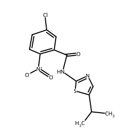 CC(C)c1cnc(NC(=O)c2cc(Cl)ccc2[N+](=O)[O-])s1